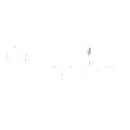 CCCC(C#N)CC/C(C)=N/OS(=O)(=O)c1ccccc1